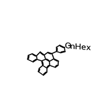 CCCCCCOc1ccc(-c2cc3cc4ccccc4c4c5ccccc5c5cccc2c5c34)cc1